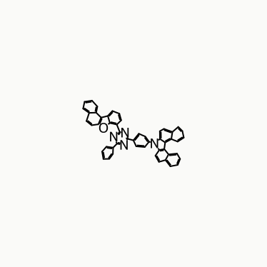 c1ccc(-c2nc(-c3ccc(-n4c5ccc6ccccc6c5c5c6ccccc6ccc54)cc3)nc(-c3cccc4c3oc3ccc5ccccc5c34)n2)cc1